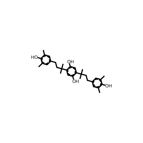 Cc1cc(CCC(C)(C)c2cc(O)c(C(C)(C)CCc3cc(C)c(O)c(C)c3)cc2O)cc(C)c1O